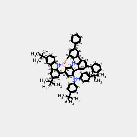 CC(C)(C)c1ccc(N(c2ccc(C(C)(C)C)cc2)c2cc3c4c5c2c2cc(-c6ccccc6)cc6c7cc(-c8ccccc8)cc(c7n5c62)B4n2c4ccc(C(C)(C)C)cc4c4cc(C(C)(C)C)cc-3c42)cc1